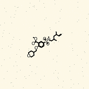 C=CC(C)CC(C)CN(C)S(=O)(=O)c1ccc(OCC2CCOCC2)c(C(=O)OC)c1